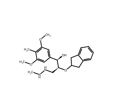 CNNC[C@H](OC1Cc2ccccc2C1)[C@H](O)c1cc(OC)c(C)c(OC)c1